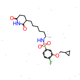 C[C@@H](CCCCCC1CCC(=O)NC1=O)NS(=O)(=O)c1ccc(F)c(OCC2CC2)c1